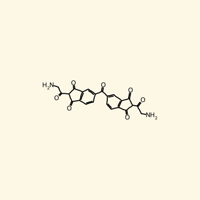 NCC(=O)C1C(=O)c2ccc(C(=O)c3ccc4c(c3)C(=O)C(C(=O)CN)C4=O)cc2C1=O